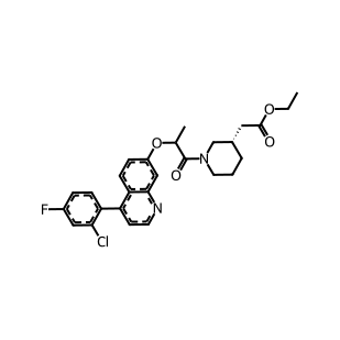 CCOC(=O)C[C@@H]1CCCN(C(=O)C(C)Oc2ccc3c(-c4ccc(F)cc4Cl)ccnc3c2)C1